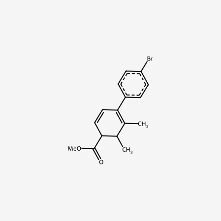 COC(=O)C1C=CC(c2ccc(Br)cc2)=C(C)C1C